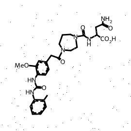 COc1cc(CC(=O)N2CCCN(C(=O)NC(CC(N)=O)C(=O)O)CC2)ccc1NC(=O)Nc1ccccc1C